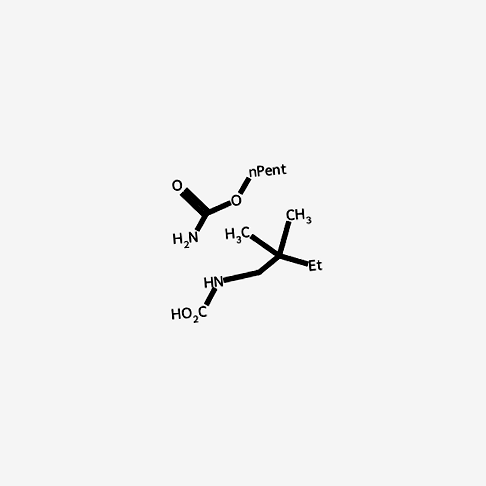 CCC(C)(C)CNC(=O)O.CCCCCOC(N)=O